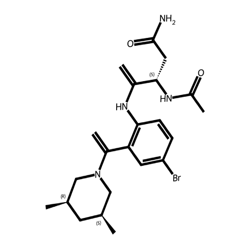 C=C(Nc1ccc(Br)cc1C(=C)N1C[C@H](C)C[C@H](C)C1)[C@H](CC(N)=O)NC(C)=O